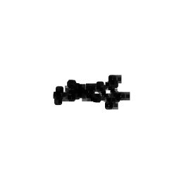 O=C(O)CN1CCN(CC(=O)O)CCN(CC(=O)O)C(Cc2ccc(NC(=S)NCC(=O)NC(Cc3ccccc3)C(=O)NC(CCCCN3C(=O)C=CC3=O)C(=O)O)cc2)CN(CC(=O)O)CC1